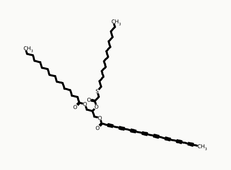 CC#CC#CC#CC#CC#CC#CC#CC#CC(=O)OCC(COC(=O)CCCCCCCCCCCCCCC)OC(=O)CSCCCCCCCCCCCCCC